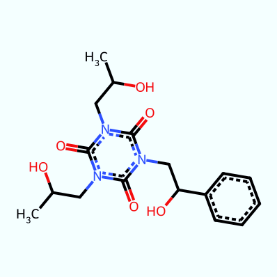 CC(O)Cn1c(=O)n(CC(C)O)c(=O)n(CC(O)c2ccccc2)c1=O